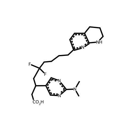 CN(C)c1ncc(C(CC(=O)O)CC(F)(F)CCCCc2ccc3c(n2)NCCC3)cn1